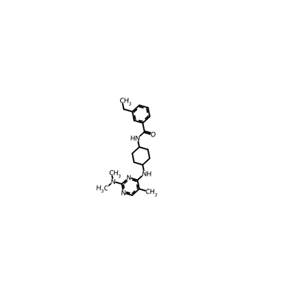 CCc1cccc(C(=O)NC2CCC(Nc3nc(N(C)C)ncc3C)CC2)c1